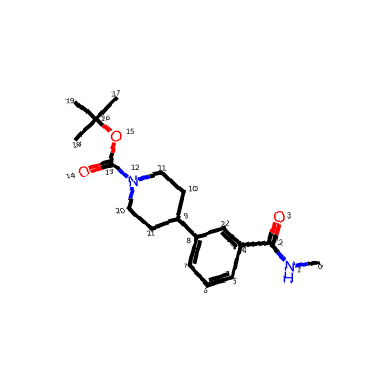 CNC(=O)c1cccc(C2CCN(C(=O)OC(C)(C)C)CC2)c1